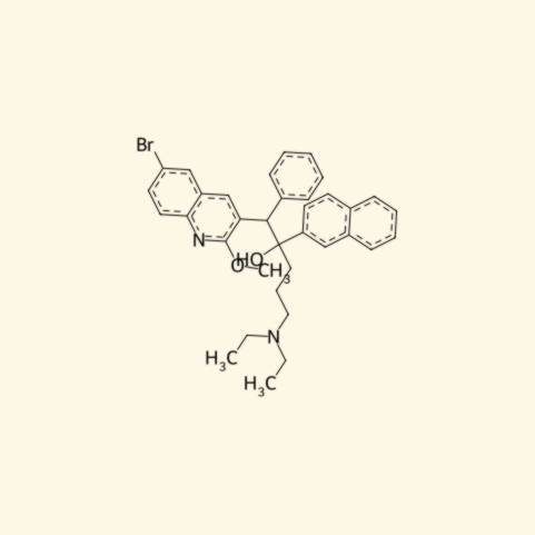 CCN(CC)CCCC(O)(c1ccc2ccccc2c1)C(c1ccccc1)c1cc2cc(Br)ccc2nc1OC